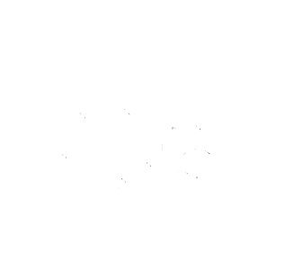 CC(C)C[C@H](O)[C@H](O)[C@H](CC1CCCCC1)N(CC1CCCCC1)C(=O)[C@@H](CC(=O)NCC(=O)N(C)CCN1CCOCC1)Cc1csc(N)n1